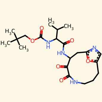 CC(C)C(NC(=O)OCC(C)(C)C)C(=O)NC1Cc2ncc(o2)CCCNC(=O)C1=O